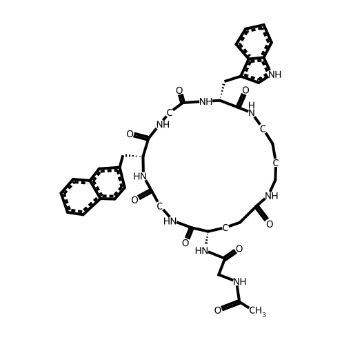 CC(=O)NCC(=O)N[C@H]1CCC(=O)NCCCCNC(=O)[C@@H](Cc2c[nH]c3ccccc23)NC(=O)CNC(=O)[C@@H](Cc2ccc3ccccc3c2)NC(=O)CNC1=O